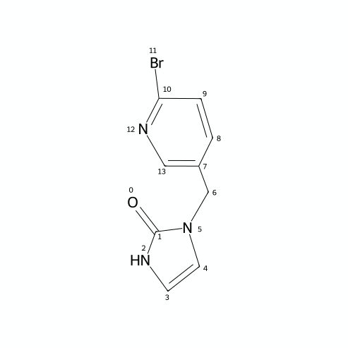 O=c1[nH]ccn1Cc1ccc(Br)nc1